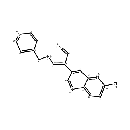 N=C/C(=C\NCc1ccncc1)c1cnc2ccc(Cl)nc2c1